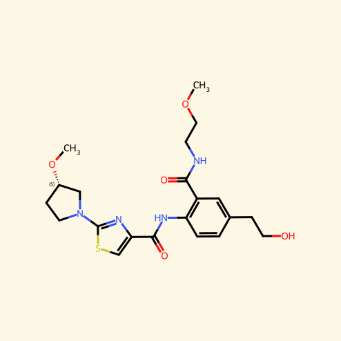 COCCNC(=O)c1cc(CCO)ccc1NC(=O)c1csc(N2CC[C@H](OC)C2)n1